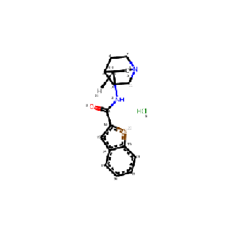 Cl.O=C(N[C@H]1CN2CCC1CC2)c1cc2ccccc2s1